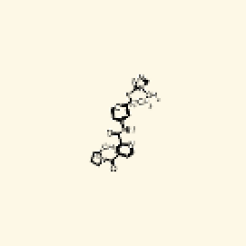 C[C@H](Sc1nncn1C)c1cccc(NC(=O)c2cc(C(=O)N3CCC[C@H]3C)ccn2)c1